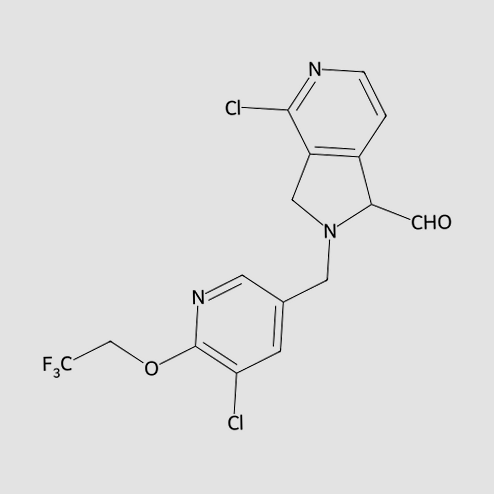 O=CC1c2ccnc(Cl)c2CN1Cc1cnc(OCC(F)(F)F)c(Cl)c1